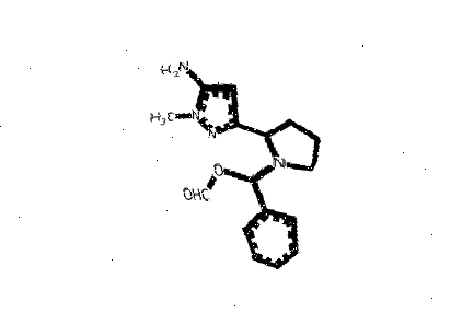 Cn1nc(C2CCCN2C(OC=O)c2ccccc2)cc1N